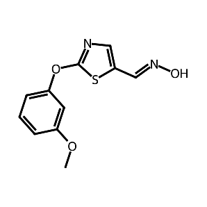 COc1cccc(Oc2ncc(/C=N/O)s2)c1